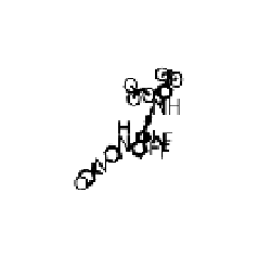 COC(=O)COc1cc(S(C)(=O)=O)ccc1NCC#Cc1cc2c(NC3CCC(N4CC5(CCOCC5)C4)CC3)cccc2n1CC(F)(F)F